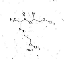 COCCON=C(C)C(=O)OC(Br)COC.[NaH]